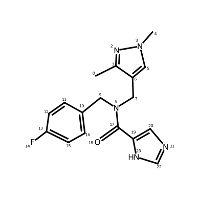 Cc1nn(C)cc1CN(Cc1ccc(F)cc1)C(=O)c1cnc[nH]1